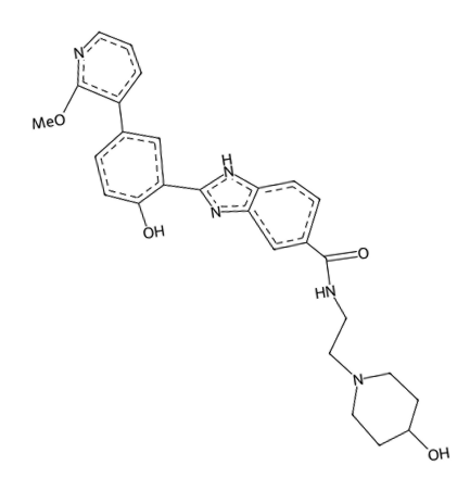 COc1ncccc1-c1ccc(O)c(-c2nc3cc(C(=O)NCCN4CCC(O)CC4)ccc3[nH]2)c1